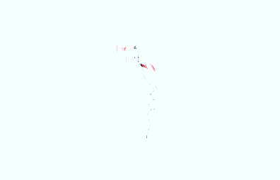 CCCCCCCCCCC(=O)NCC(C)O